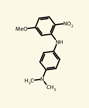 COc1ccc([N+](=O)[O-])c(Nc2ccc(N(C)C)cc2)c1